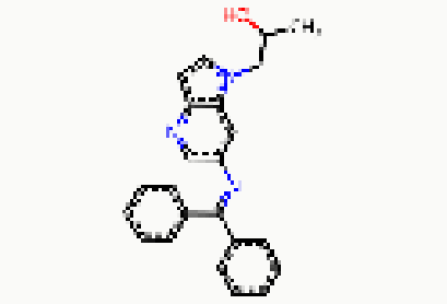 CC(O)Cn1ccc2ncc(N=C(c3ccccc3)c3ccccc3)cc21